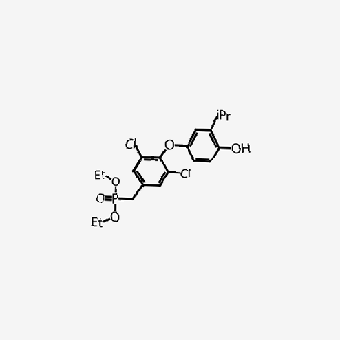 CCOP(=O)(Cc1cc(Cl)c(Oc2ccc(O)c(C(C)C)c2)c(Cl)c1)OCC